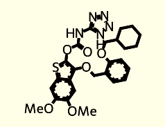 COc1cc2sc(OC(=O)Nc3nnn[nH]3)c(OCc3ccccc3OCC3CCCCC3)c2cc1OC